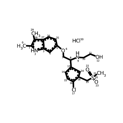 Cc1[nH]c2cc(OCC(NCCO)c3ccc(Cl)c(CS(C)(=O)=O)c3)ccc2c1C.Cl